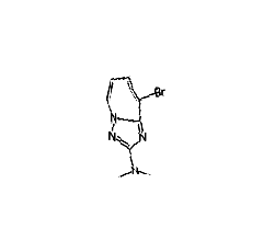 CN(C)c1nc2c(Br)cccn2n1